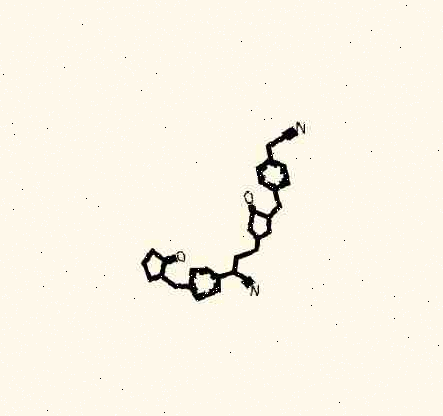 N#CCc1ccc(CC2CC(CCC(C#N)c3ccc(CC4CCCC4=O)cc3)CC2=O)cc1